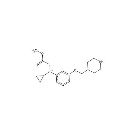 COC(=O)C[C@H](c1cccc(OCC2CCNCC2)c1)C1CC1